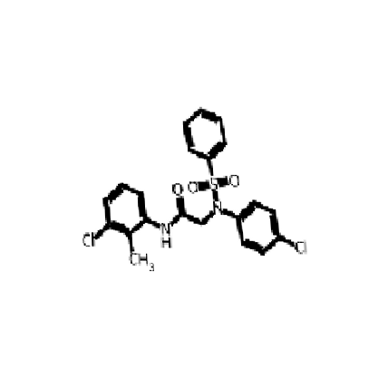 Cc1c(Cl)cccc1NC(=O)CN(c1ccc(Cl)cc1)S(=O)(=O)c1ccccc1